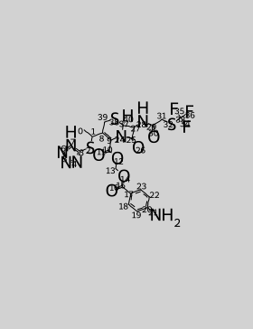 CC(Sc1nnn[nH]1)C1=C(C(=O)OCOC(=O)c2ccc(N)cc2)N2C(=O)C(NC(=O)CSC(F)(F)F)[C@@H]2SC1